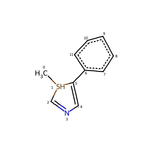 C[SH]1C=N[C]=C1c1ccccc1